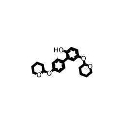 Oc1ccc(OC2CCCCO2)cc1-c1[c]cc(OC2CCCCO2)cc1